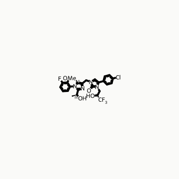 COc1c(F)cccc1-n1nc(Cn2cc(-c3ccc(Cl)cc3)n(C[C@H](O)C(F)(F)F)c2=O)nc1[C@H](C)O